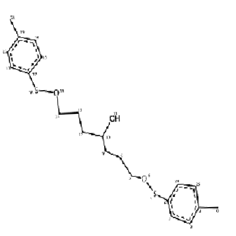 Cc1ccc(SOCCCC(O)CCCOSc2ccc(C)cc2)cc1